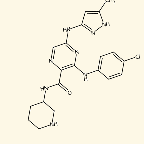 Cc1cc(Nc2cnc(C(=O)NC3CCCNC3)c(Nc3ccc(Cl)cc3)n2)n[nH]1